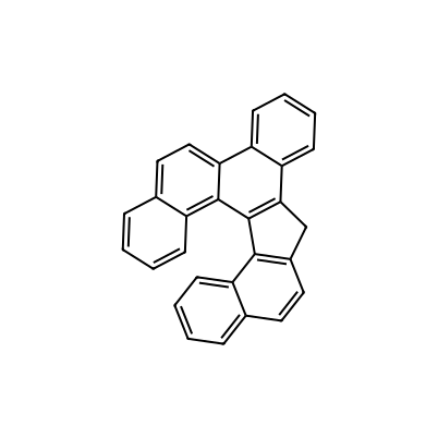 c1ccc2c3c(ccc2c1)Cc1c-3c2c3ccccc3ccc2c2ccccc12